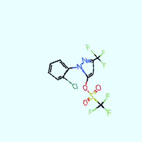 O=S(=O)(Oc1cc(C(F)(F)F)nn1-c1ccccc1Cl)C(F)(F)F